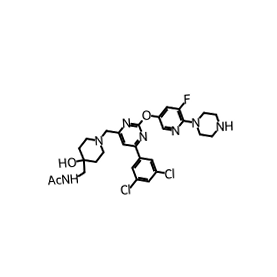 CC(=O)NCC1(O)CCN(Cc2cc(-c3cc(Cl)cc(Cl)c3)nc(Oc3cnc(N4CCNCC4)c(F)c3)n2)CC1